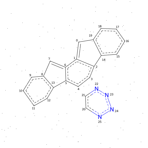 C1=c2c(ccc3c2=Cc2ccccc2-3)-c2ccccc21.c1cnnnn1